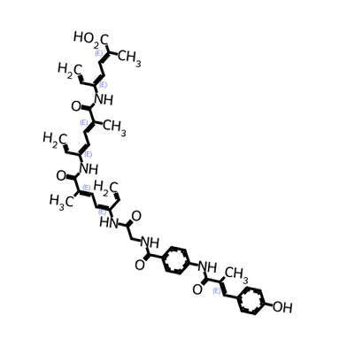 C=C/C(=C\C=C(/C)C(=O)N/C(C=C)=C/C=C(\C)C(=O)N/C(C=C)=C/C=C(\C)C(=O)O)NC(=O)CNC(=O)c1ccc(NC(=O)/C(C)=C/c2ccc(O)cc2)cc1